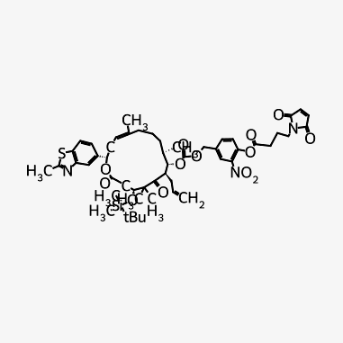 C=CC[C@H]1C(=O)C(C)(C)[C@@H](O[Si](C)(C)C(C)(C)C)CC(=O)O[C@H](c2ccc3sc(C)nc3c2)C/C=C(/C)CCC[C@H](C)[C@@H]1OC(=O)OCc1ccc(OC(=O)CCCN2C(=O)C=CC2=O)c([N+](=O)[O-])c1